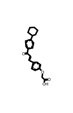 O=C(O)COc1ccc(C=CC(=O)c2ccc(C3CCCCC3)cc2)cc1